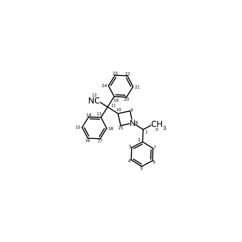 CC(c1ccccc1)N1CC(C(C#N)(c2ccccc2)c2ccccc2)C1